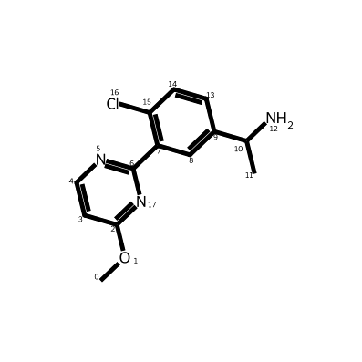 COc1ccnc(-c2cc(C(C)N)ccc2Cl)n1